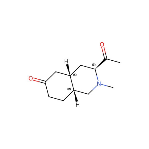 CC(=O)[C@@H]1C[C@H]2CC(=O)CC[C@H]2CN1C